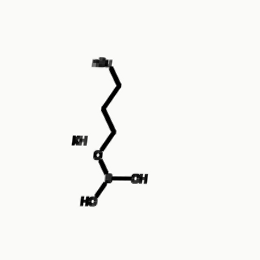 CCCCCCCOB(O)O.[KH]